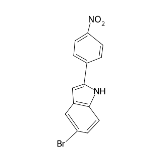 O=[N+]([O-])c1ccc(-c2cc3cc(Br)ccc3[nH]2)cc1